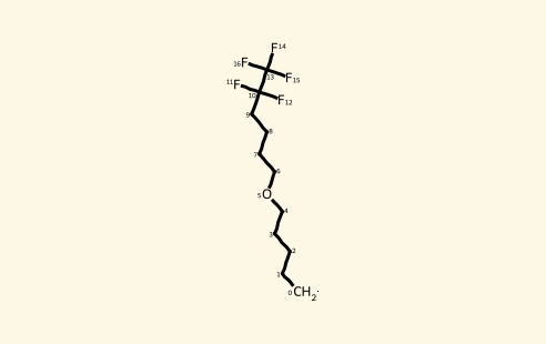 [CH2]CCCCOCCCCC(F)(F)C(F)(F)F